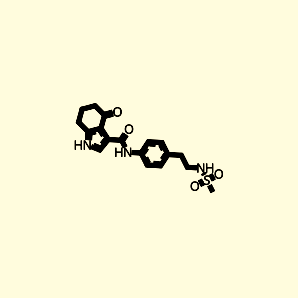 CS(=O)(=O)NCCc1ccc(NC(=O)c2c[nH]c3c2C(=O)CCC3)cc1